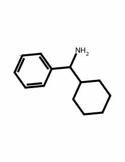 NC(c1c[c]ccc1)C1CCCCC1